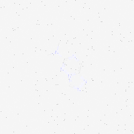 CN(C)c1ncc2nncn2n1